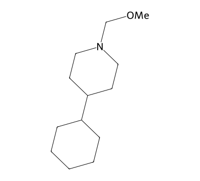 COCN1CCC(C2CCCCC2)CC1